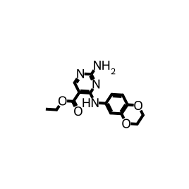 CCOC(=O)c1cnc(N)nc1Nc1ccc2c(c1)OCCO2